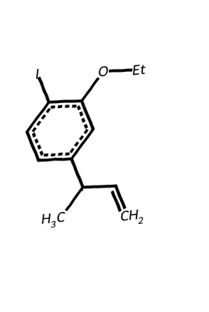 C=C[C](C)c1ccc(I)c(OCC)c1